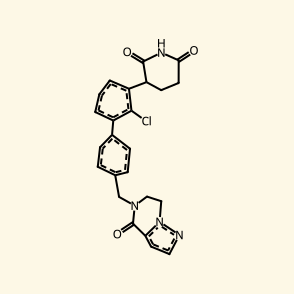 O=C1CCC(c2cccc(-c3ccc(CN4CCn5nccc5C4=O)cc3)c2Cl)C(=O)N1